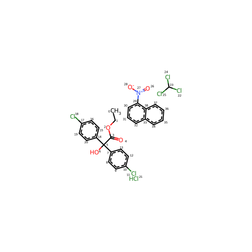 CCOC(=O)C(O)(c1ccc(Cl)cc1)c1ccc(Cl)cc1.Cl.ClC(Cl)Cl.O=[N+]([O-])c1cccc2ccccc12